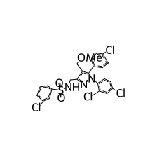 COCc1c(CNS(=O)(=O)c2cccc(Cl)c2)nn(-c2ccc(Cl)cc2Cl)c1-c1ccc(Cl)cc1